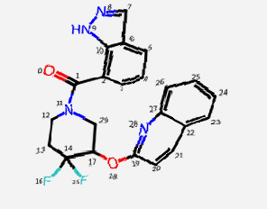 O=C(c1cccc2cn[nH]c12)N1CCC(F)(F)C(Oc2ccc3ccccc3n2)C1